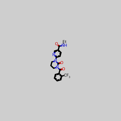 CCNC(=O)c1ccc(N2CCCN(C(=O)c3ccccc3C(F)(F)F)C2=O)nc1